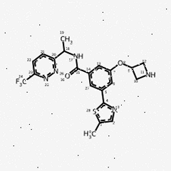 Cc1cnc(-c2cc(OC3CNC3)cc(C(=O)NC(C)c3ccc(C(F)(F)F)nn3)c2)s1